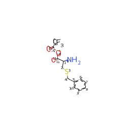 N[C@@H](CSCc1ccccc1)C(=O)OC(=O)C(F)(F)F